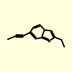 CC#Cc1ccn2cc(CC)nc2c1